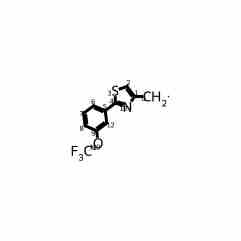 [CH2]c1csc(-c2cccc(OC(F)(F)F)c2)n1